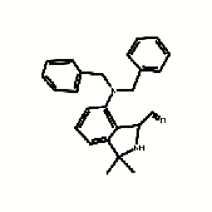 CC1(C)NC(C=O)c2c(N(Cc3ccccc3)Cc3ccccc3)cccc21